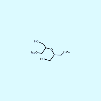 COCC(CO)OC(CO)COC